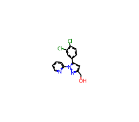 OCc1cc(-c2ccc(Cl)c(Cl)c2)n(-c2ccccn2)n1